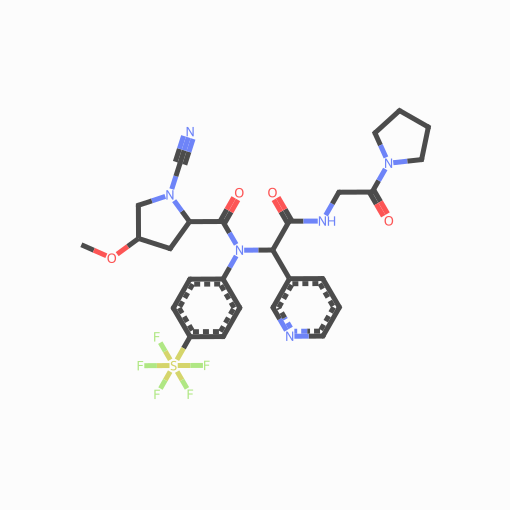 COC1CC(C(=O)N(c2ccc(S(F)(F)(F)(F)F)cc2)C(C(=O)NCC(=O)N2CCCC2)c2cccnc2)N(C#N)C1